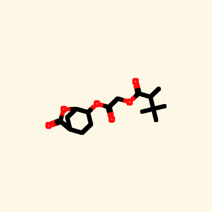 CC(C(=O)OCC(=O)OC1CCC2CC1OC2=O)C(C)(C)C